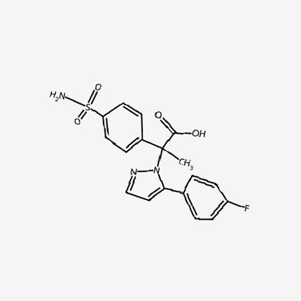 CC(C(=O)O)(c1ccc(S(N)(=O)=O)cc1)n1nccc1-c1ccc(F)cc1